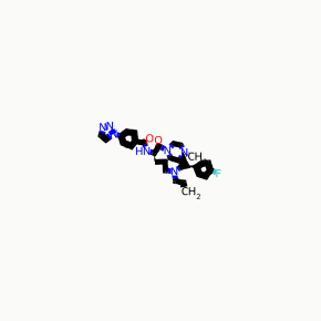 C=CCN(CCC[C@H](NC(=O)c1ccc(-n2ccnn2)cc1)C(=O)N1CCN(C)CC1)C1C[C@H]1c1ccc(F)cc1